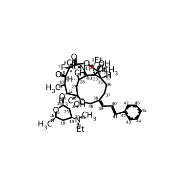 CC[C@H]1OC(=O)[C@@](C)(F)C(=O)C(C)[C@@H](O[C@@H]2O[C@H](C)C[C@H](N(C)CC)[C@H]2O)[C@@]2(C)C[C@@H](C)/C(=N\C(C)=O)[C@H](C)[C@@H](CC/C(=C\C=C\c3ccccc3)CO2)[C@]1(C)O